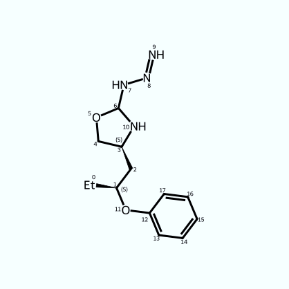 CC[C@@H](C[C@H]1COC(NN=N)N1)Oc1ccccc1